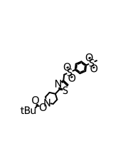 CC(C)(C)C(=O)ON1CCC(c2nc(CS(=O)(=O)c3ccc(S(C)(=O)=O)cc3)cs2)CC1